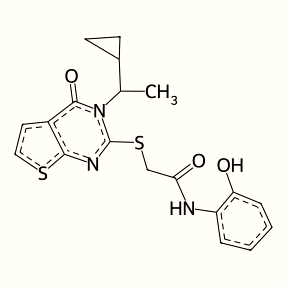 CC(C1CC1)n1c(SCC(=O)Nc2ccccc2O)nc2sccc2c1=O